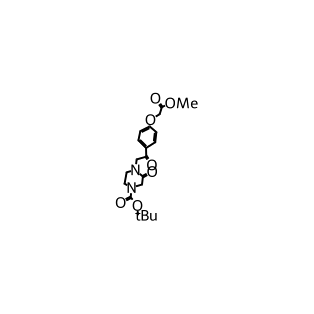 COC(=O)COc1ccc(C(=O)CN2CCN(C(=O)OC(C)(C)C)CC2=O)cc1